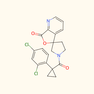 O=C1OC2(CCN(C(=O)C3(c4ccc(Cl)cc4Cl)CC3)C2)c2cccnc21